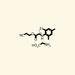 CCc1cc(C)cc(C)c1N[C@@H](C)C(=O)OCCC#N.NCC(=O)O